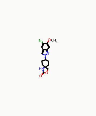 COc1cc2nn(C3CCC4(CC3)COC(=O)N4)cc2cc1Br